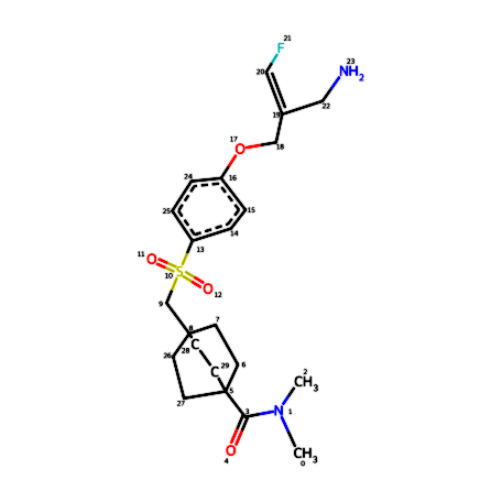 CN(C)C(=O)C12CCC(CS(=O)(=O)c3ccc(OCC(=CF)CN)cc3)(CC1)CC2